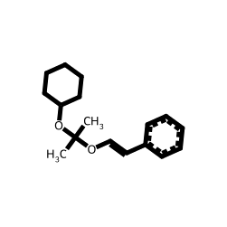 CC(C)(OC=Cc1ccccc1)OC1CCCCC1